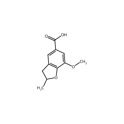 COc1cc(C(=O)O)cc2c1OC(C)C2